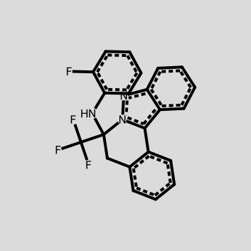 Fc1ccccc1NC1(C(F)(F)F)Cc2ccccc2-c2c3ccccc3nn21